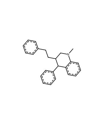 CN1CC(CCc2ccccc2)C(c2ccccc2)c2ccccc21